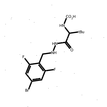 CC(C)(C)C(NC(=O)O)C(=O)NNCc1c(F)cc(Br)cc1F